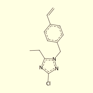 C=Cc1ccc(Cn2nc(Cl)nc2CC)cc1